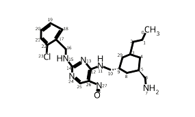 CCCC1C[C@@H](CN)C[C@H](CNc2nc(NCc3ccccc3Cl)ncc2N=O)C1